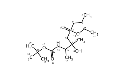 CCCP(=O)(CC(C)(O)C(C)NC(=O)OC(C)(C)C)OCC